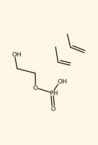 C=CC.C=CC.O=[PH](O)OCCO